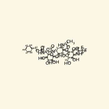 CC(=O)NC1C[C@@H](NC(C)=O)[C@@H](O[C@H]2OC(CO)[C@@H](O)[C@@H](NC(=O)C(F)(F)F)C2O)C(O)[C@@H]1O[C@H]1OC(CNC(=O)OCc2ccccc2)[C@@H](O)C(O)[C@@H]1O